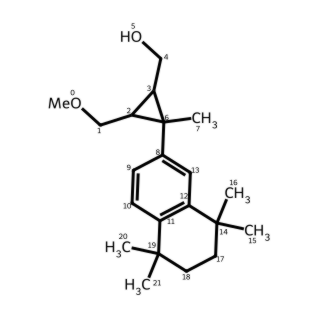 COCC1C(CO)C1(C)c1ccc2c(c1)C(C)(C)CCC2(C)C